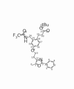 Cc1oc(-c2ccccc2)nc1CCOc1ccc(CCC(=O)OC(C)(C)C)c(CNC(=O)C(F)(F)F)c1